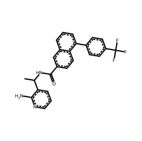 CC(NC(=O)c1ccc2c(-c3ccc(C(F)(F)F)cc3)cccc2c1)c1cccnc1N